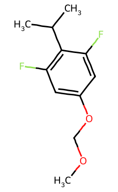 COCOc1cc(F)c(C(C)C)c(F)c1